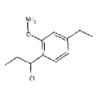 CCc1ccc(C(Cl)CC)c(ON)c1